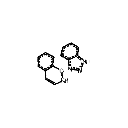 C1=Cc2ccccc2ON1.c1ccc2[nH]nnc2c1